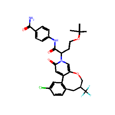 CC(C)(C)OCCC(C(=O)Nc1ccc(C(N)=O)cc1)n1cc2c(cc1=O)-c1cc(Cl)ccc1CC(C(F)(F)F)CO2